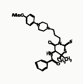 COc1ccc(N2CCN(CCCN3C(=O)C(NC(=O)c4ccccc4)C(C)(C)SC3=S)CC2)cc1